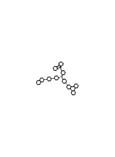 c1cc(N(c2ccc(-c3ccc(-c4ccc5ccccc5c4)cc3)cc2)c2ccc(-c3ccc4c5ccccc5c5ccccc5c4c3)cc2)cc(-n2c3ccccc3c3ccccc32)c1